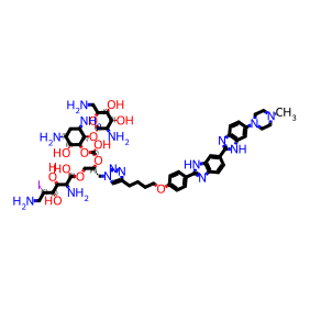 CN1CCN(c2ccc3nc(-c4ccc5nc(-c6ccc(OCCCCc7cn(C[C@H](CO[C@@H](O)C(N)C(O)[C@H](O)[C@@H](I)CN)O[C@H](O)OC8[C@H](O[C@@H]9OC(CN)[C@@H](O)[C@H](O)C9N)C(N)C[C@@H](N)[C@H]8O)nn7)cc6)[nH]c5c4)[nH]c3c2)CC1